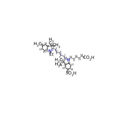 CC[N+]1=C(/C=C/C=C/C=C2/N(CCCCCC(=O)O)c3ccc(S(=O)(=O)O)cc3C2(C)C)C(C)(C)c2cc(C)ccc21